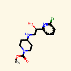 CC(C)(C)OC(=O)N1CCC(NC[C@@H](O)c2cccc(Cl)n2)CC1